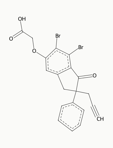 C#CCC1(c2ccccc2)Cc2cc(OCC(=O)O)c(Br)c(Br)c2C1=O